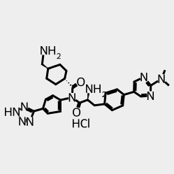 CN(C)c1ncc(-c2ccc(C[C@H](N)C(=O)N(c3ccc(-c4nn[nH]n4)cc3)C(=O)[C@H]3CC[C@H](CN)CC3)cc2)cn1.Cl